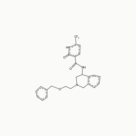 O=C(NC1CN(CCOCc2ccccc2)Cc2ccccc21)c1ccc(C(F)(F)F)[nH]c1=O